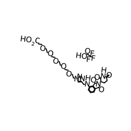 O=C(O)C(F)(F)F.O=C(O)CCOCCOCCOCCOCCOCCn1cc(CNc2cccc3c2C(=O)N(C2CCC(=O)NC2=O)C3=O)nn1